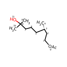 CC(=O)OCC[C@@H](C)CCCC(C)(C)O